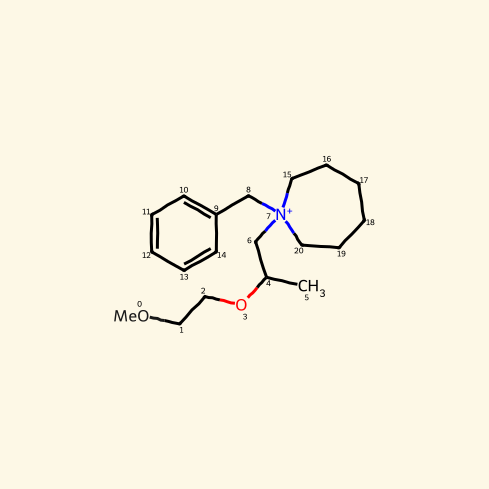 COCCOC(C)C[N+]1(Cc2ccccc2)CCCCCC1